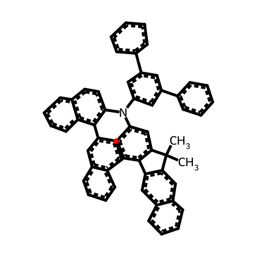 CC1(C)c2cc(N(c3cc(-c4ccccc4)cc(-c4ccccc4)c3)c3ccc4ccccc4c3-c3ccc4ccccc4c3)ccc2-c2cc3ccccc3cc21